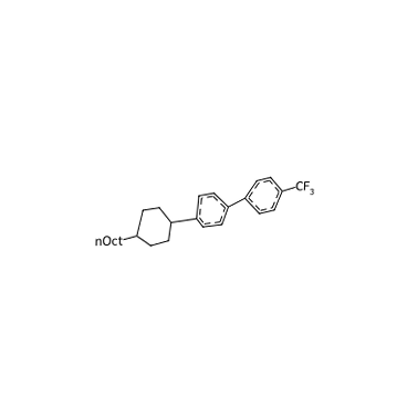 CCCCCCCCC1CCC(c2ccc(-c3ccc(C(F)(F)F)cc3)cc2)CC1